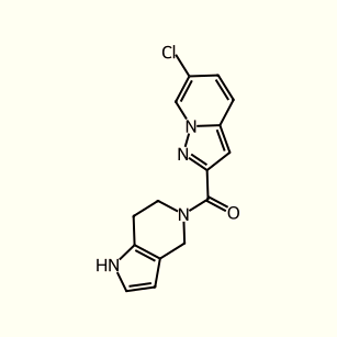 O=C(c1cc2ccc(Cl)cn2n1)N1CCc2[nH]ccc2C1